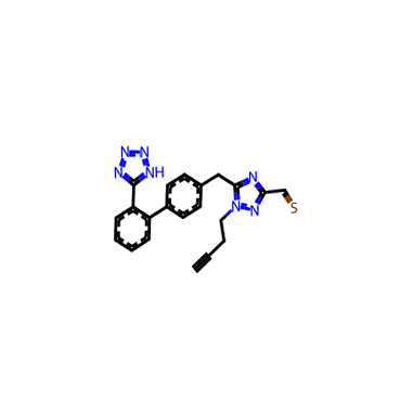 C#CCCn1nc(C=S)nc1Cc1ccc(-c2ccccc2-c2nnn[nH]2)cc1